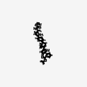 C=C(C)OC(=O)N1CCC[C@H]1c1ncc(-c2ccc(-c3ccc(-c4cnc([C@H](C)NC(=O)OC(C)(C)C)[nH]4)cc3)nc2)[nH]1